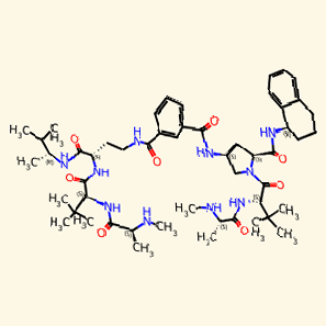 CN[C@@H](C)C(=O)N[C@H](C(=O)N[C@@H](CCNC(=O)c1cccc(C(=O)N[C@H]2C[C@@H](C(=O)N[C@@H]3CCCc4ccccc43)N(C(=O)[C@@H](NC(=O)[C@H](C)NC)C(C)(C)C)C2)c1)C(=O)N[C@H](C)C(C)C)C(C)(C)C